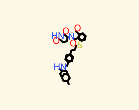 CC1CC2CC(C1)CC(C)(NCc1ccc(CCCSc3cccc(C=O)c3C(=O)N(C)C3CCC(=O)NC3=O)cc1)C2